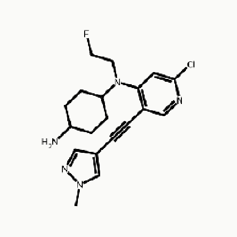 Cn1cc(C#Cc2cnc(Cl)cc2N(CCF)C2CCC(N)CC2)cn1